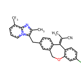 C/C(C#N)=C1\c2ccc(Cc3c(C)nc4c(C(F)(F)F)cccn34)cc2COc2cc(F)ccc21